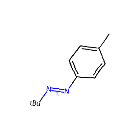 Cc1ccc(/N=N/C(C)(C)C)cc1